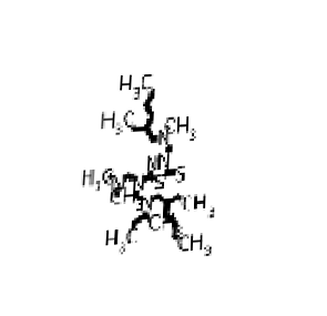 CCCCC(CC)CN(C)Cn1nc(N(CN(C)C)CN(CC(CC)CCCC)C(C)CC)sc1=S